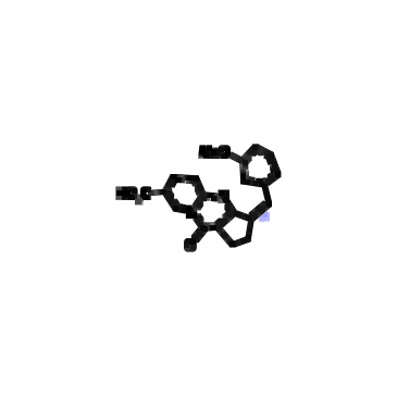 COc1cccc(/C=C2/CCc3c2nc2ccc(C(=O)O)cn2c3=O)c1